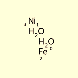 O.O.[Fe].[Ni]